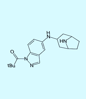 CC(C)(C)C(=O)n1ncc2cc(NC3CC4CCC(C3)N4)ccc21